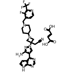 N#CCC1(n2cc(-c3ncnc4[nH]ccc34)c(N)n2)CN(C2CCN(Cc3ccnc(C(F)(F)F)c3F)CC2)C1.O=C(O)/C=C/C(=O)O